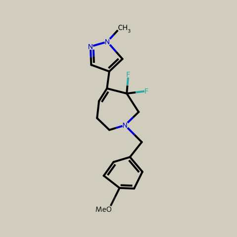 COc1ccc(CN2CCC=C(c3cnn(C)c3)C(F)(F)C2)cc1